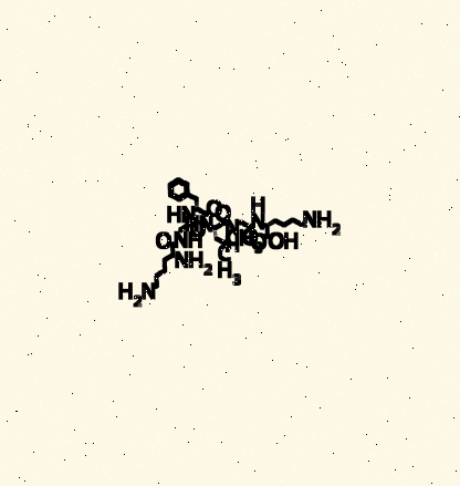 CC(C)C[C@H](NC(=O)[C@H](Cc1ccccc1)NC(=O)CNC(=O)[C@@H](N)CCCCN)C(=O)NCC(=O)N[C@@H](CCCCN)C(=O)O